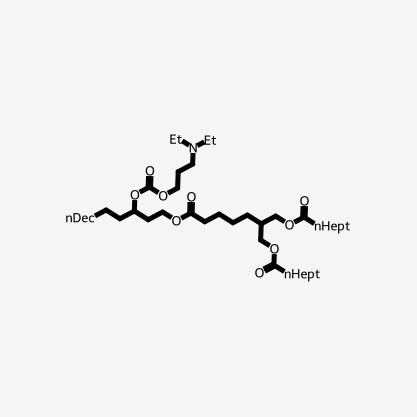 CCCCCCCCCCCCC(CCOC(=O)CCCCC(COC(=O)CCCCCCC)COC(=O)CCCCCCC)OC(=O)OCCCN(CC)CC